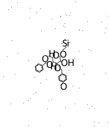 COc1ccc(CO[C@@H]2[C@@H](O)[C@H](OCC[Si](C)(C)C)O[C@@H]3COC(c4ccccc4)O[C@H]23)cc1